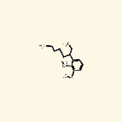 CCCCCC(CC)c1cccc(OC)c1OC